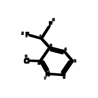 FC(F)c1cc[c]nc1Cl